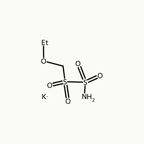 CCOCS(=O)(=O)S(N)(=O)=O.[K]